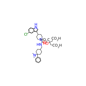 CN(C)C1(c2ccccc2)CCC(CNC(=O)N2CCC(c3c[nH]c4ccc(Cl)cc34)CC2)CC1.O=C(O)CC(O)(CC(=O)O)C(=O)O